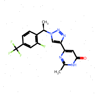 Cc1nc(-c2cn([C@H](C)c3ccc(C(F)(F)F)cc3F)nn2)cc(=O)[nH]1